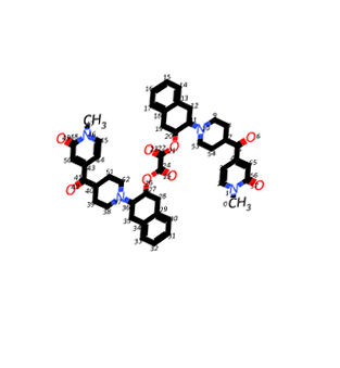 Cn1ccc(C(=O)C2CCN(C3Cc4ccccc4CC3OC(=O)C(=O)OC3Cc4ccccc4CC3N3CCC(C(=O)c4ccn(C)c(=O)c4)CC3)CC2)cc1=O